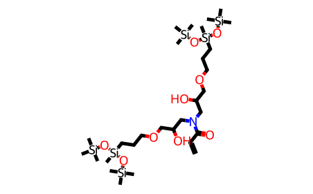 C=CC(=O)N(CC(O)COCCC[Si](C)(O[Si](C)(C)C)O[Si](C)(C)C)CC(O)COCCC[Si](C)(O[Si](C)(C)C)O[Si](C)(C)C